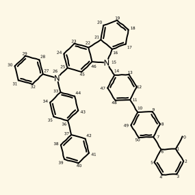 CC1C=CC=CC1c1ccc(-c2ccc(-n3c4ccccc4c4ccc(N(c5ccccc5)c5ccc(-c6ccccc6)cc5)cc43)cc2)cc1